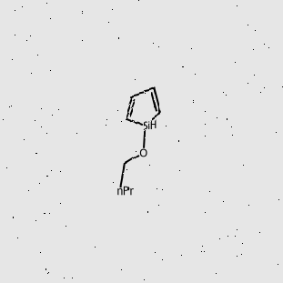 CCCCO[SiH]1C=CC=C1